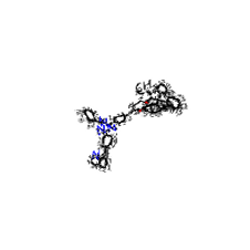 C\C=C/C=C1\C(=C2/C=CC(c3ccc(-c4nc(-c5ccccc5)nc(-c5ccc(-c6cccc7cccnc67)cc5)n4)cc3)=CC2C)C2(c3ccccc31)c1ccccc1-c1ccccc12